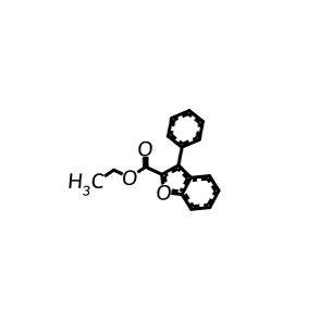 CCOC(=O)c1oc2ccccc2c1-c1ccccc1